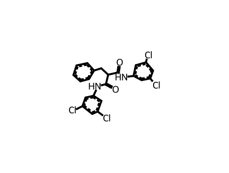 O=C(Nc1cc(Cl)cc(Cl)c1)C(Cc1ccccc1)C(=O)Nc1cc(Cl)cc(Cl)c1